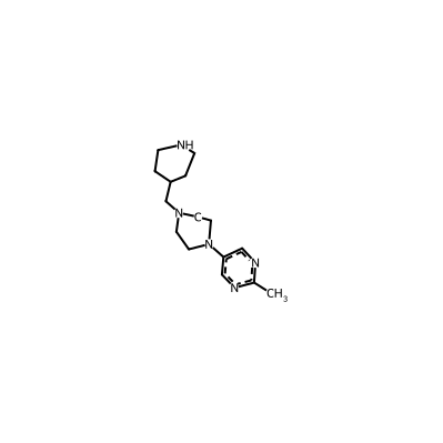 Cc1ncc(N2CCN(CC3CCNCC3)CC2)cn1